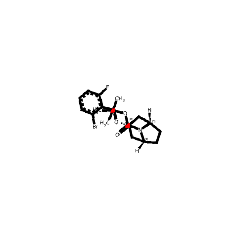 CC(C)(C)OC(=O)N1[C@@H]2CC[C@H]1C[C@@H](OCc1c(F)cccc1Br)C2